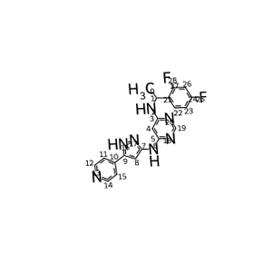 CC(Nc1cc(Nc2cc(-c3ccncc3)[nH]n2)ncn1)c1ccc(F)cc1F